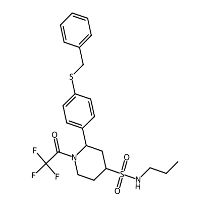 CCCNS(=O)(=O)C1CCN(C(=O)C(F)(F)F)C(c2ccc(SCc3ccccc3)cc2)C1